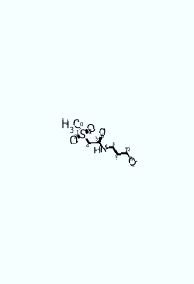 CS(=O)(=O)CC(=O)NCCC[O]